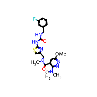 COc1cc(C(=O)N(C)Cc2csc(NC(=O)NCc3cccc(F)c3)n2)c(N(C)C)nn1